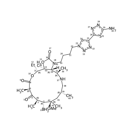 B[C@@H]1[C@@H](C)C(=O)[C@@H](C)C(=O)O[C@H](CC)[C@@]2(C)OC(=O)N(CCCCn3cc(-c4nnc(N)s4)nn3)[C@@H]2[C@@H](C)NC[C@H](C)C[C@@]1(C)OC